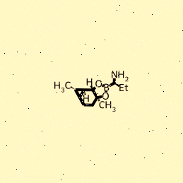 CC[C@H](N)B1O[C@H]2[C@H]3C4C(C[C@@]2(C)O1)[C@]43C